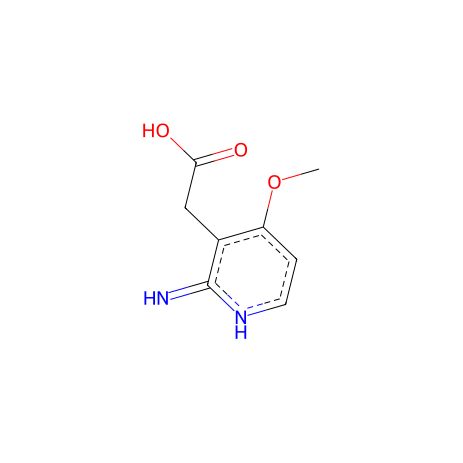 COc1cc[nH]c(=N)c1CC(=O)O